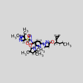 CCCC(COc1ccn(-c2ccc(C(=O)NS(=O)(=O)c3cnn(C)c3C)c(N3C[C@@H](C)CC3(C)C)n2)n1)C1CC1